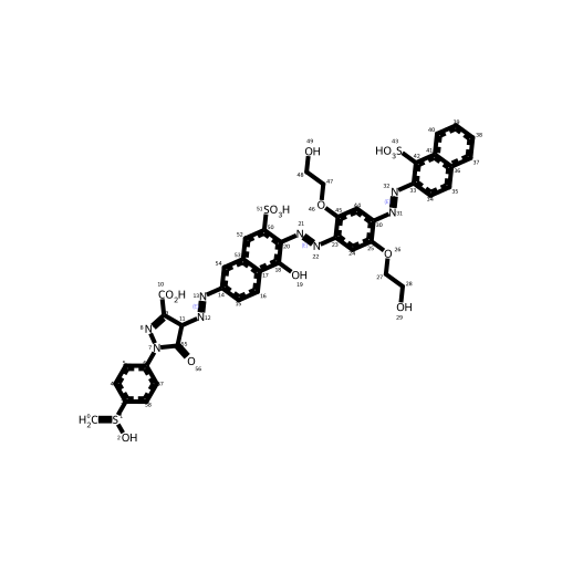 C=S(O)c1ccc(N2N=C(C(=O)O)C(/N=N/c3ccc4c(O)c(/N=N/c5cc(OCCO)c(/N=N/c6ccc7ccccc7c6S(=O)(=O)O)cc5OCCO)c(S(=O)(=O)O)cc4c3)C2=O)cc1